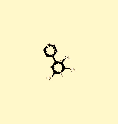 Cc1cc(-c2ccncc2)c(C)c(C)n1